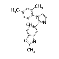 Cc1cc(C)c(-n2ccnc2-c2ccc3oc(C)nc3c2)c(C)c1